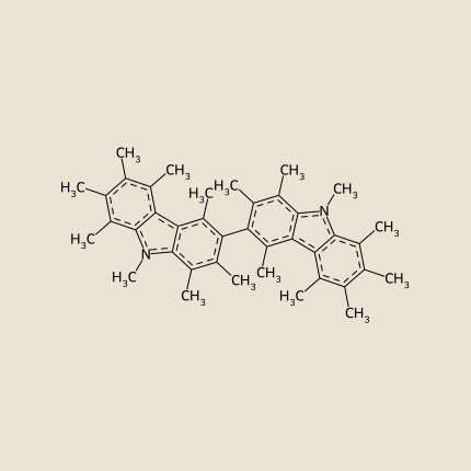 Cc1c(C)c(C)c2c(c1C)c1c(C)c(-c3c(C)c(C)c4c(c3C)c3c(C)c(C)c(C)c(C)c3n4C)c(C)c(C)c1n2C